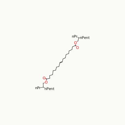 CCCCCC(CCC)COC(=O)CCCCCCC/C=C/CCCCCCCC(=O)OCC(CCC)CCCCC